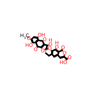 COc1cc(O)c2c(c1O)C(=O)C1=C(C2=O)[C@H](O)[C@]2(CCc3cc4cc(C(=O)O)oc(=O)c4c(O)c3O2)O1